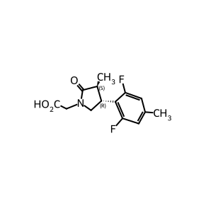 Cc1cc(F)c([C@@H]2CN(CC(=O)O)C(=O)[C@H]2C)c(F)c1